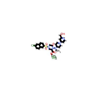 COC(=O)C1CN(S(=O)(=O)c2ccc3cc(Cl)ccc3c2)CC(=O)N1N(C)C1CCN(c2ccnc(CO)c2)CC1.Cl.Cl